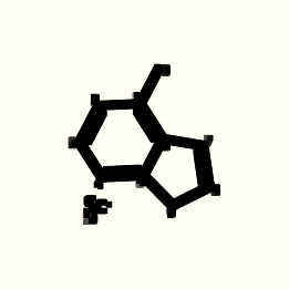 Cc1cccc2c1C=CC2.[Sc]